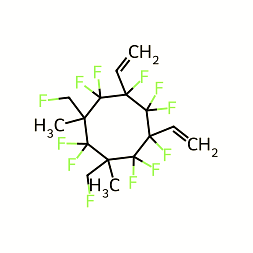 C=CC1(F)C(F)(F)C(F)(C=C)C(F)(F)C(C)(CF)C(F)(F)C(C)(CF)C1(F)F